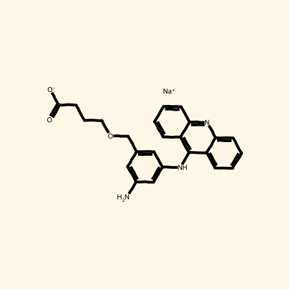 Nc1cc(COCCCC(=O)[O-])cc(Nc2c3ccccc3nc3ccccc23)c1.[Na+]